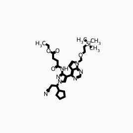 CCOC(=O)CCC(=O)Nc1nn(C(CC#N)C2CCCC2)cc1-c1ncnc2c1ccn2COCC[Si](C)(C)C